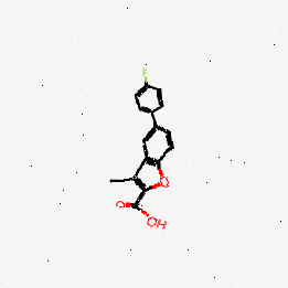 Cc1c(C(=O)O)oc2ccc(-c3ccc(F)cc3)cc12